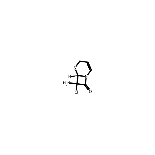 NC1(Cl)C(=O)N2C=CCS[C@H]21